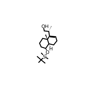 C[C@@H](CO)C1=CCC[C@H]2[C@@H](O[Si](C)(C)C(C)(C)C)CCC[C@]12C